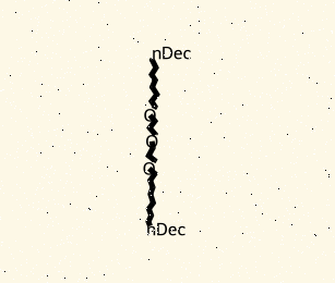 CCCCCCCCCCCCCCCCCCOCCCOCCCOCCCCCCCCCCCCCCCCCC